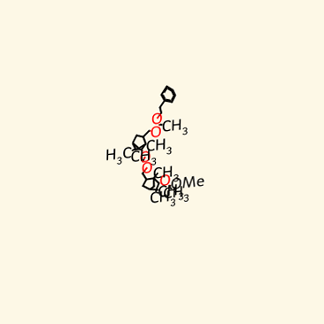 COC(C)OC1C(C)(C)C2CC(COCOC3C(C)(C)C4CC(COC(C)OCCc5ccccc5)C3(C)C4)C1(C)C2